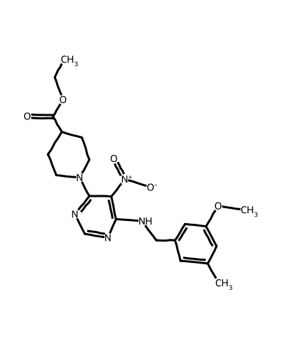 CCOC(=O)C1CCN(c2ncnc(NCc3cc(C)cc(OC)c3)c2[N+](=O)[O-])CC1